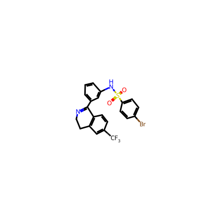 O=S(=O)(Nc1cccc(C2=NCCc3cc(C(F)(F)F)ccc32)c1)c1ccc(Br)cc1